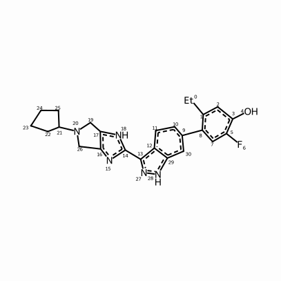 CCc1cc(O)c(F)cc1-c1ccc2c(-c3nc4c([nH]3)CN(C3CCCC3)C4)n[nH]c2c1